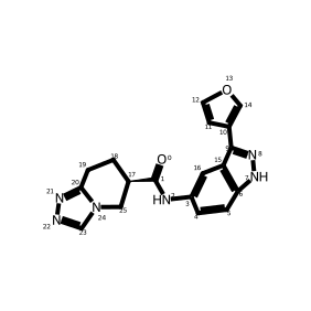 O=C(Nc1ccc2[nH]nc(-c3ccoc3)c2c1)[C@@H]1CCc2nncn2C1